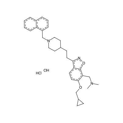 CN(C)Cc1c(OCC2CC2)ccc2c(CCC3CCN(Cc4cccc5ccccc45)CC3)noc12.Cl.Cl